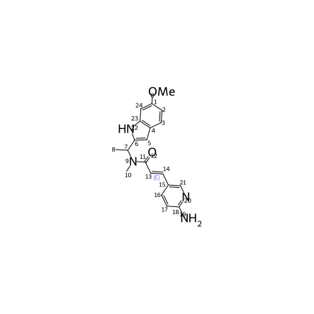 COc1ccc2cc(C(C)N(C)C(=O)/C=C/c3ccc(N)nc3)[nH]c2c1